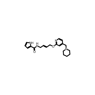 O=C(NCC=CCOc1cc(CN2CCCCC2)ccn1)c1ccc[nH]1